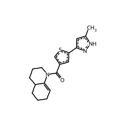 Cc1cc(-c2cc(C(=O)N3CCCC4CCCC=C43)cs2)n[nH]1